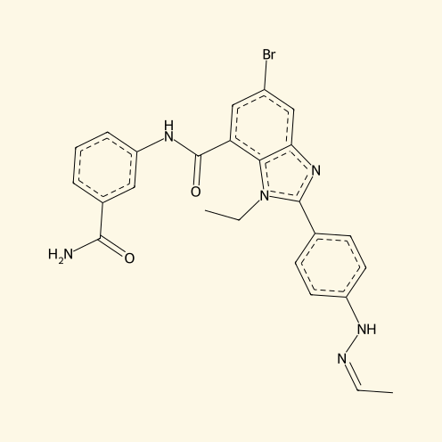 C/C=N\Nc1ccc(-c2nc3cc(Br)cc(C(=O)Nc4cccc(C(N)=O)c4)c3n2CC)cc1